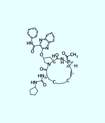 CC(=O)[C@@]12C[C@H]1/C=C\CCCCC[C@H](NC(=O)NC1CCCC1)C(=O)N1CC(Oc3nc4ccccc4nc3C(=O)Nc3ccccc3)C[C@H]1C(=O)N2